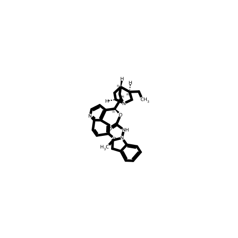 CC[C@H]1CN2CC[C@H]1C[C@@H]2[C@@H](OC(=O)NN1CCc2ccccc21)c1ccnc2ccc(OC)cc12